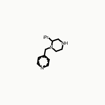 CC(C)C1CNCCN1Cc1ccncc1